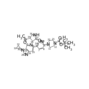 C[C@@H](Oc1nc(-c2ccc(N3CCN(C(=O)OC(C)(C)C)CC3)nc2)cc2ncn(C3CC3)c12)C1CNC(=O)C1